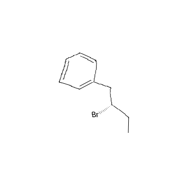 CC[C@H](Br)Cc1ccccc1